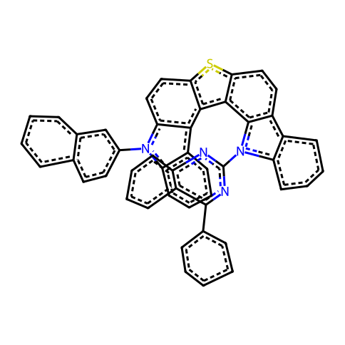 c1ccc(-c2nc(-n3c4ccccc4c4ccc5sc6ccc7c(c8ccccc8n7-c7ccc8ccccc8c7)c6c5c43)nc3ccccc23)cc1